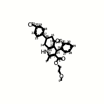 COCCOC(=O)C1=C(C)NC2=C(C(=O)CC(c3ccc(Cl)cc3)C2)C1c1ccccc1F